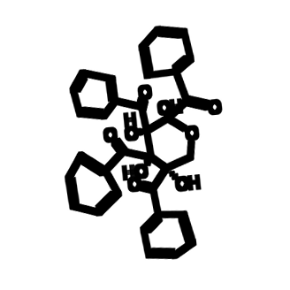 O=C(c1ccccc1)C1(O)OC[C@@](O)(C(=O)c2ccccc2)[C@@](O)(C(=O)c2ccccc2)[C@]1(O)C(=O)c1ccccc1